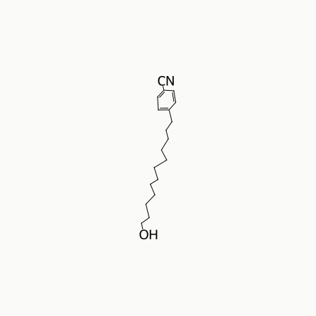 N#Cc1ccc(CCCCCCCCCCCCO)cc1